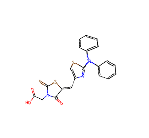 O=C(O)CN1C(=O)C(=Cc2csc(N(c3ccccc3)c3ccccc3)n2)SC1=S